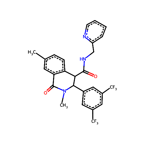 Cc1ccc2c(c1)C(=O)N(C)C(c1cc(C(F)(F)F)cc(C(F)(F)F)c1)C2C(=O)NCc1ccccn1